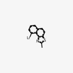 Cc1nc2c(ccc3ccc[c]([Lr])c32)s1